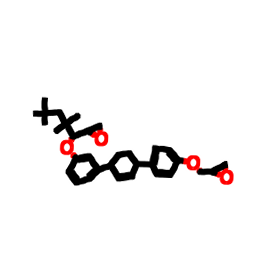 CC(C)(C)CC(C)(C)C(Oc1cccc(C2C=CC(c3ccc(OCC4CO4)cc3)CC2)c1)C1CO1